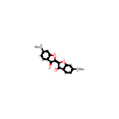 COc1ccc2c(c1)OC(=C1Oc3cc(OC)ccc3C1=O)C2=O